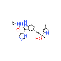 CC1=CC([C@](C)(O)C#Cc2ccc3[nH]c(C(=O)NC4CC4)c(-c4ccncn4)c3c2)=NC1